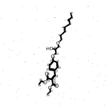 CCCCCCCCOCC(O)COc1ccc(C=C(C(=O)OCC)C(=O)OCC)cc1